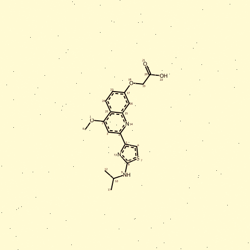 COc1cc(-c2csc(NC(C)C)n2)nc2cc(OCC(=O)O)ccc12